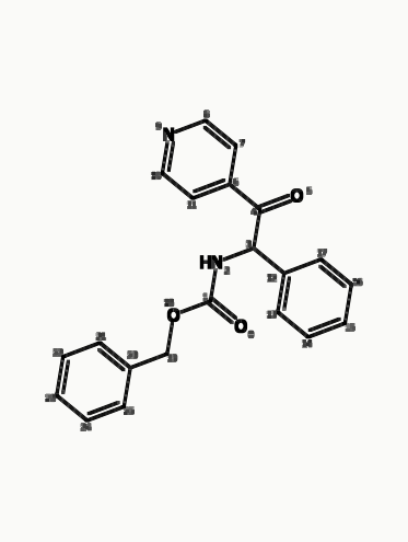 O=C(NC(C(=O)c1ccncc1)c1ccccc1)OCc1ccccc1